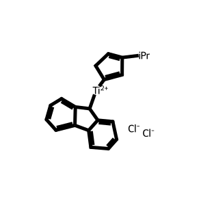 CC(C)C1=CC[C]([Ti+2][CH]2c3ccccc3-c3ccccc32)=C1.[Cl-].[Cl-]